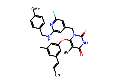 COc1ccc(CNc2cc(Cn3c(Oc4cc(C)cc(C=CC#N)c4)c(C(C)C)c(=O)[nH]c3=O)cc(F)n2)cc1